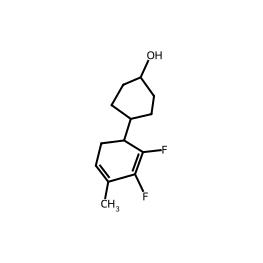 CC1=CCC(C2CCC(O)CC2)C(F)=C1F